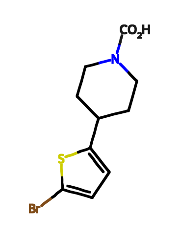 O=C(O)N1CCC(c2ccc(Br)s2)CC1